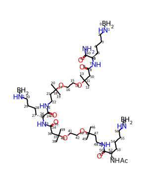 BNCCCC[C@@H](NC(=O)CC(C)(C)OCCOC(C)(C)CCNC(=O)[C@@H](CCCCNB)NC(=O)CC(C)(C)OCCOC(C)(C)CCNC(=O)[C@@H](CCCCNB)NC(C)=O)C(N)=O